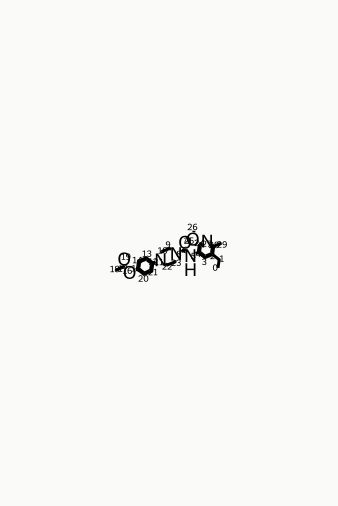 CCc1cc(NC(=O)N2CCN(c3ccc(OC(C)=O)cc3)CC2)c(OC)nc1C